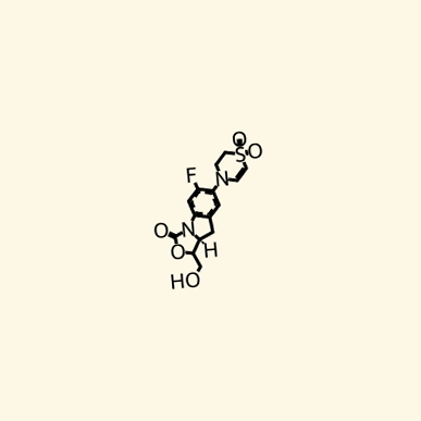 O=C1OC(CO)[C@@H]2Cc3cc(N4C=CS(=O)(=O)CC4)c(F)cc3N12